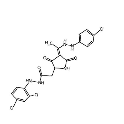 CC(NNc1ccc(Cl)cc1)=C1C(=O)NC(CC(=O)NNc2ccc(Cl)cc2Cl)C1=O